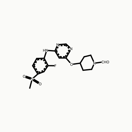 CS(=O)(=O)c1ccc(Nc2cc(OC3CCN(C=O)CC3)ncn2)c(F)c1